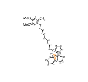 COc1cc(C)c(CCCCCCCCCCCC[PH](c2ccccc2)(c2ccccc2)c2ccccc2)cc1OC